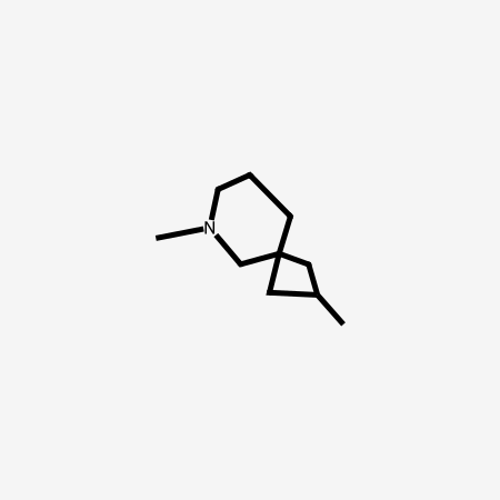 CC1CC2(CCCN(C)C2)C1